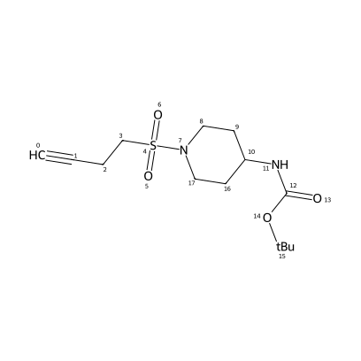 C#CCCS(=O)(=O)N1CCC(NC(=O)OC(C)(C)C)CC1